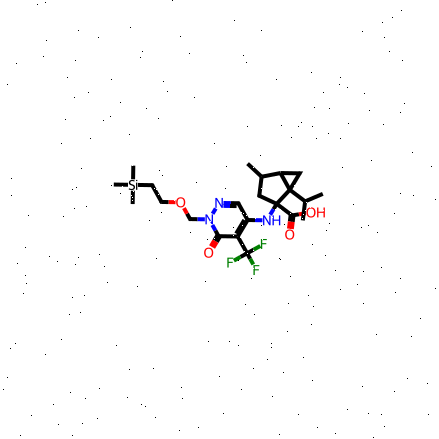 CC1CC(Nc2cnn(COCC[Si](C)(C)C)c(=O)c2C(F)(F)F)(C(=O)O)C2(C(C)C)CC12